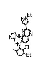 CCc1ccc(C)c(N(Cc2ncc[nH]2)c2ccc3ncc(-c4cnn(CC)c4)nc3n2)c1Cl